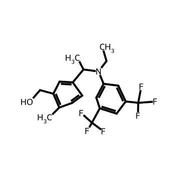 CCN(c1cc(C(F)(F)F)cc(C(F)(F)F)c1)C(C)c1ccc(C)c(CO)c1